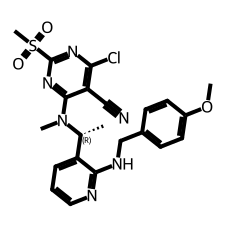 COc1ccc(CNc2ncccc2[C@@H](C)N(C)c2nc(S(C)(=O)=O)nc(Cl)c2C#N)cc1